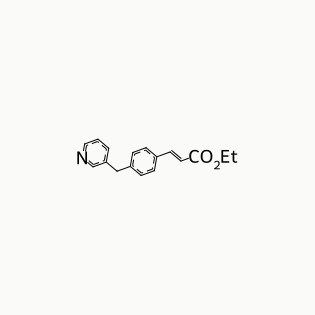 CCOC(=O)/C=C/c1ccc(Cc2cccnc2)cc1